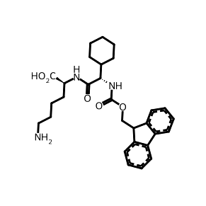 NCCCC[C@H](NC(=O)[C@@H](NC(=O)OCC1c2ccccc2-c2ccccc21)C1CCCCC1)C(=O)O